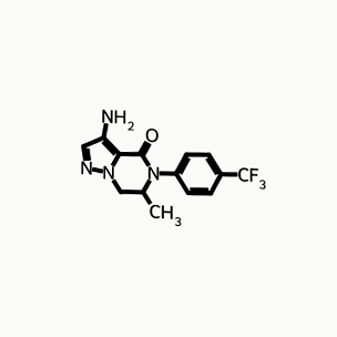 CC1Cn2ncc(N)c2C(=O)N1c1ccc(C(F)(F)F)cc1